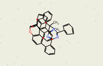 CC1(C)c2ccccc2C2(c3ccccc3Oc3ccc(-c4ccccc4-c4nc(-c5ccccc5)nc(-c5cccc6ccccc56)n4)cc32)c2ccccc21